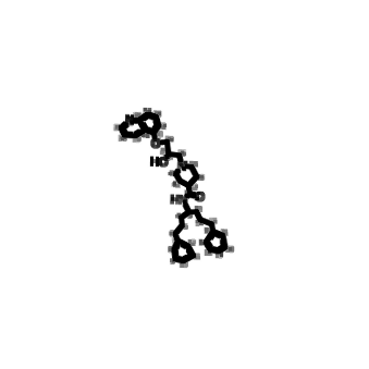 O=C(NC(CCCc1ccccc1)CCCc1ccccc1)C1CCN(C[C@@H](O)COc2cccc3ncccc23)CC1